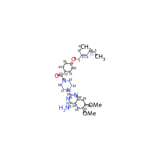 C=C/C(=C\C=C/C)COc1ccc(C(=O)N2CCN(c3nc(N)c4cc(OC)c(OC)cc4n3)CC2)cc1